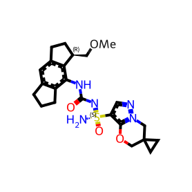 COC[C@@H]1CCc2cc3c(c(NC(=O)N=[S@](N)(=O)c4cnn5c4OCC4(CC4)C5)c21)CCC3